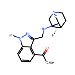 COC(=O)c1cccc2c1c(CN[C@H]1CN3CCC1CC3)nn2C(C)C